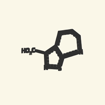 O=C(O)c1nsc2ncccc12